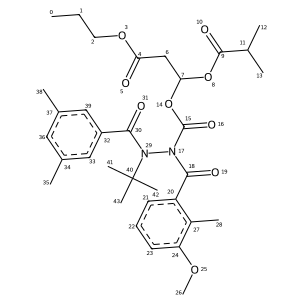 CCCOC(=O)CC(OC(=O)C(C)C)OC(=O)N(C(=O)c1cccc(OC)c1C)N(C(=O)c1cc(C)cc(C)c1)C(C)(C)C